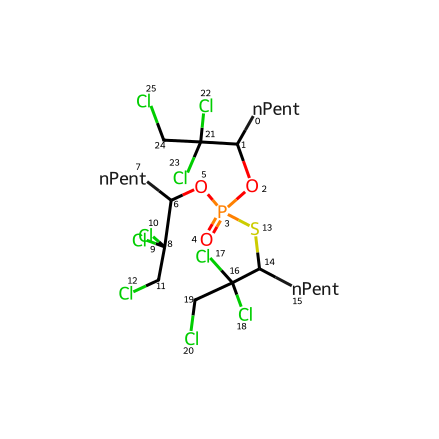 CCCCCC(OP(=O)(OC(CCCCC)C(Cl)(Cl)CCl)SC(CCCCC)C(Cl)(Cl)CCl)C(Cl)(Cl)CCl